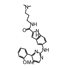 COc1ccccc1-c1ccnc(Nc2ccc3[nH]c(C(=O)NCCCN(C)C)cc3c2)n1